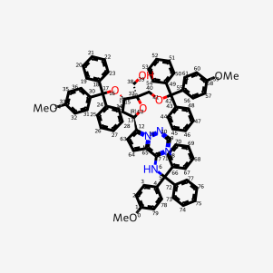 COc1ccc(C(Nc2ncnn3c([C@H]4C[C@H](OC(c5ccccc5)(c5ccccc5)c5ccc(OC)cc5)[C@@](CO)(COC(c5ccccc5)(c5ccccc5)c5ccc(OC)cc5)O4)ccc23)(c2ccccc2)c2ccccc2)cc1